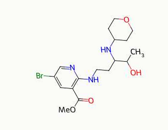 COC(=O)c1cc(Br)cnc1NCCC(NC1CCOCC1)C(C)O